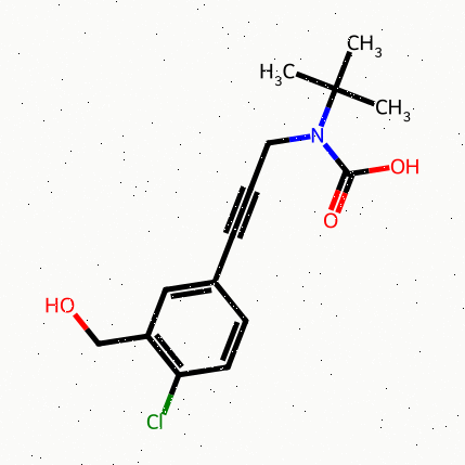 CC(C)(C)N(CC#Cc1ccc(Cl)c(CO)c1)C(=O)O